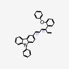 C=C/C(=C\C=C\c1ccc2c(c1)c1ccccc1n2-c1ccccc1)c1ccccc1Oc1ccccc1